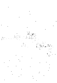 COCCOCC(=O)NCCCC[C@H](NC(=O)CCCN1C(=O)C=CC1=O)C(=O)N[C@@H](C)C(=O)N[C@@H](C)C(=O)N[C@H](C)C1OC1N1C[C@@H]2CCCN2C(=O)c2cc(OC)c(OCCCCCOc3cc4c(cc3OC)C(=O)N3CCC[C@H]3C=N4)cc21